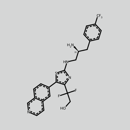 N[C@H](CNc1nc(C(F)(F)CO)c(-c2ccc3cnccc3c2)s1)Cc1ccc(C(F)(F)F)cc1